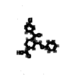 O=C(O)N1CCN(C(=O)c2csc(Cl)n2)C(COc2cccnc2)C1